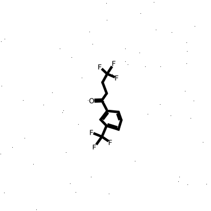 O=C(CCC(F)(F)F)c1cccc(C(F)(F)F)c1